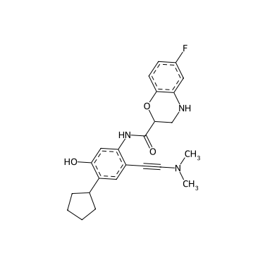 CN(C)C#Cc1cc(C2CCCC2)c(O)cc1NC(=O)C1CNc2cc(F)ccc2O1